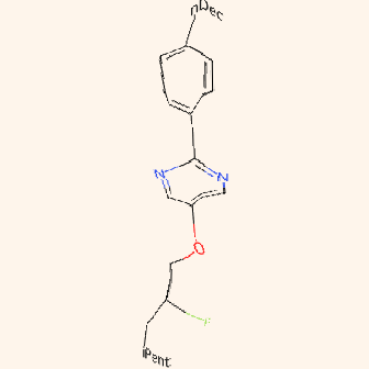 CCCCCCCCCCc1ccc(-c2ncc(OCC(F)CC(C)CCC)cn2)cc1